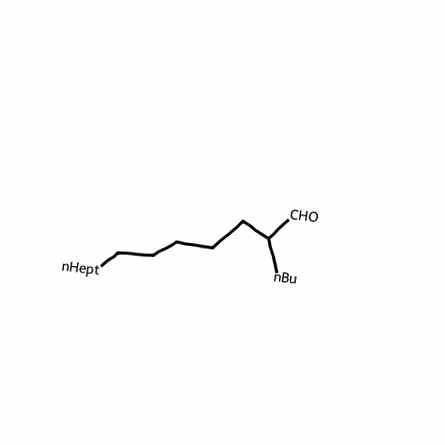 CCCCCCCCCCCCC(C=O)CCCC